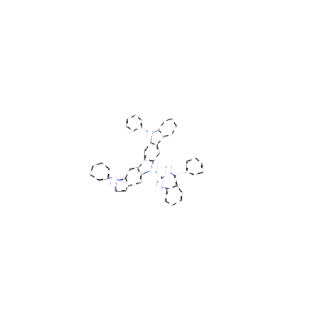 c1ccc(-c2nc(-n3c4cc5ccn(-c6ccccc6)c5cc4c4cc5c(cc43)c3ccccc3n5-c3ccccc3)nc3ccccc23)cc1